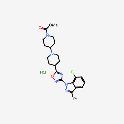 COC(=O)N1CCC(N2CCC(c3nc(-n4nc(C(C)C)c5cccc(F)c54)no3)CC2)CC1.Cl